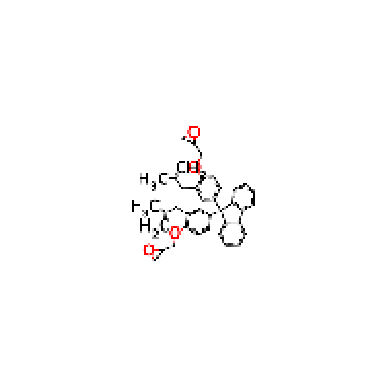 C=C(C)Cc1cc(C2(c3ccc(OCC4CO4)c(CC(=C)C)c3)c3ccccc3-c3ccccc32)ccc1OCC1CO1